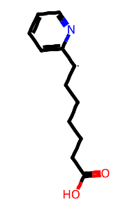 O=C(O)CCCCC[CH]c1ccccn1